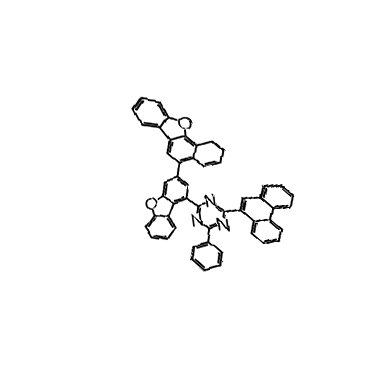 C1=Cc2c(-c3cc(-c4nc(-c5ccccc5)nc(-c5cc6ccccc6c6ccccc56)n4)c4c(c3)oc3ccccc34)cc3c(oc4ccccc43)c2CC1